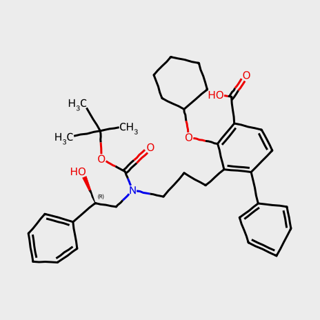 CC(C)(C)OC(=O)N(CCCc1c(-c2ccccc2)ccc(C(=O)O)c1OC1CCCCC1)C[C@H](O)c1ccccc1